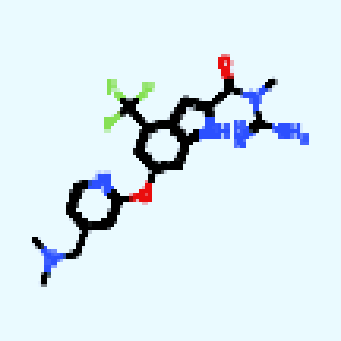 CN(C)Cc1ccnc(Oc2cc(C(F)(F)F)c3cc(C(=O)N(C)C(=N)N)[nH]c3c2)c1